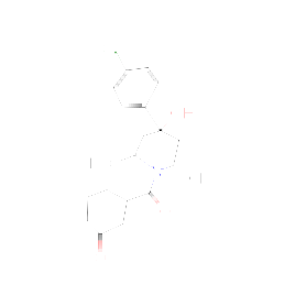 CC1CC(O)(c2ccc(Cl)cc2)C[C@H](C)N1C(=O)C1[CH]CCC(=O)C1